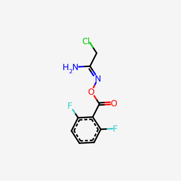 NC(CCl)=NOC(=O)c1c(F)cccc1F